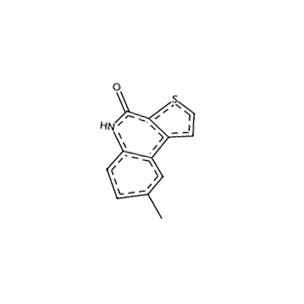 Cc1ccc2[nH]c(=O)c3sccc3c2c1